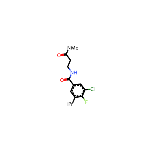 CNC(=O)CCNC(=O)c1cc(Cl)c(F)c(C(C)C)c1